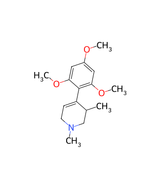 COc1cc(OC)c(C2=CCN(C)CC2C)c(OC)c1